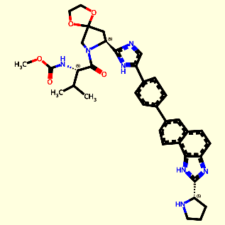 COC(=O)N[C@H](C(=O)N1CC2(C[C@H]1c1ncc(-c3ccc(-c4ccc5c(ccc6nc([C@@H]7CCCN7)[nH]c65)c4)cc3)[nH]1)OCCO2)C(C)C